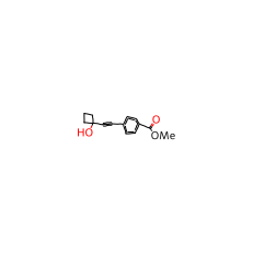 COC(=O)c1ccc(C#CC2(O)CCC2)cc1